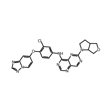 Clc1cc(Nc2ncnc3cnc(N4CCC5COCC54)nc23)ccc1Oc1ccn2ncnc2c1